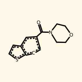 O=C(c1ccc2sccc2c1)N1CCOCC1